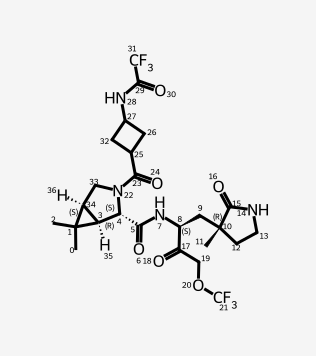 CC1(C)[C@@H]2[C@@H](C(=O)N[C@@H](C[C@@]3(C)CCNC3=O)C(=O)COC(F)(F)F)N(C(=O)C3CC(NC(=O)C(F)(F)F)C3)C[C@@H]21